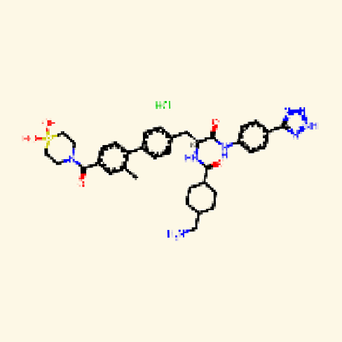 Cc1cc(C(=O)N2CCS(O)(O)CC2)ccc1-c1ccc(C[C@H](NC(=O)C2CCC(CN)CC2)C(=O)Nc2ccc(-c3nn[nH]n3)cc2)cc1.Cl